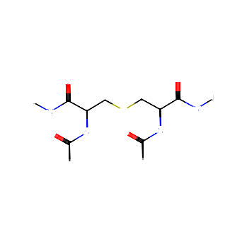 CCNC(=O)C(CSCC(NC(=O)CC)C(=O)NC(C)(C)C)NC(=O)CC